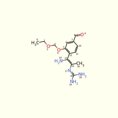 CCOCOc1cc(C=O)ccc1/C(N)=C(\C)N=C(N)N